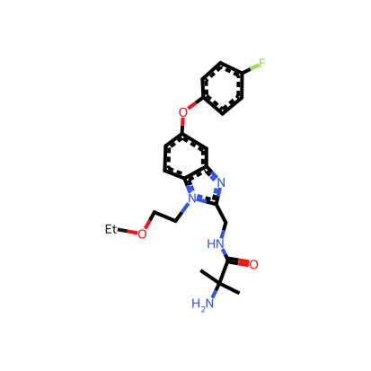 CCOCCn1c(CNC(=O)C(C)(C)N)nc2cc(Oc3ccc(F)cc3)ccc21